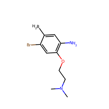 Bc1cc(N)c(OCCN(C)C)cc1Br